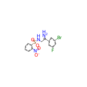 N[C@H](CNS(=O)(=O)c1ccccc1[N+](=O)[O-])c1cc(F)cc(Br)c1